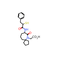 O=C(O)CN1C(=O)C(NC(=O)C(S)Cc2ccccc2)CCCC12CCCC2